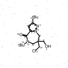 CC(C)(C)c1cc2n(n1)CC(CO)(CCl)CN(C(C)(C)C)C2=O